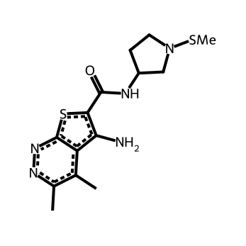 CSN1CCC(NC(=O)c2sc3nnc(C)c(C)c3c2N)C1